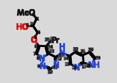 COCC(O)COc1cn2ncnc(Nc3cnc4[nH]ccc4c3)c2c1C(C)C